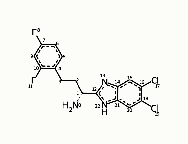 N[C@H](CCc1ccc(F)cc1F)c1nc2cc(Cl)c(Cl)cc2[nH]1